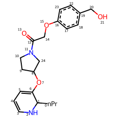 CCCC1NC=CC=C1OC1CCN(C(=O)COc2ccc(CO)cc2)C1